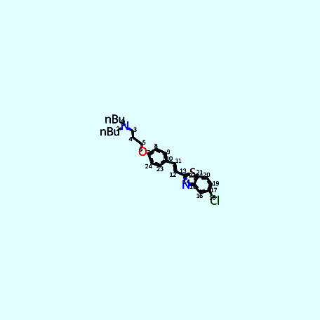 CCCCN(CCCC)CCCOc1ccc(C=Cc2nc3cc(Cl)ccc3s2)cc1